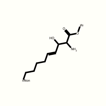 CCCCCCCCCCCCC/C=C/C(O)C(N)C(=O)OC(C)C